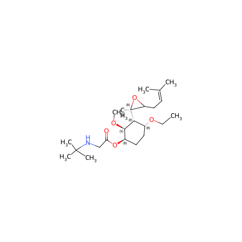 CCO[C@@H]1CC[C@@H](OC(=O)CNC(C)(C)C)[C@@H](OC)[C@@H]1[C@@]1(C)OC1CC=C(C)C